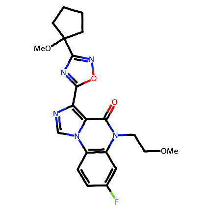 COCCn1c(=O)c2c(-c3nc(C4(OC)CCCC4)no3)ncn2c2ccc(F)cc21